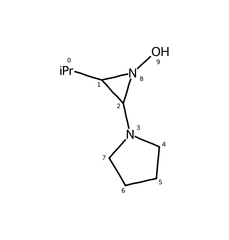 CC(C)C1C(N2CCCC2)N1O